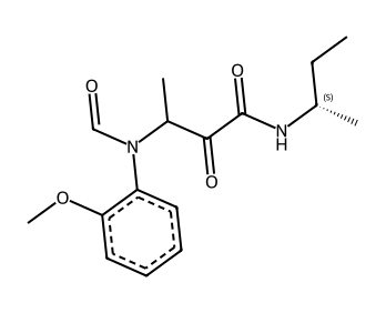 CC[C@H](C)NC(=O)C(=O)C(C)N(C=O)c1ccccc1OC